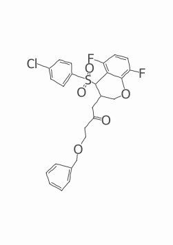 O=C(CCOCc1ccccc1)CC1COc2c(F)ccc(F)c2C1S(=O)(=O)c1ccc(Cl)cc1